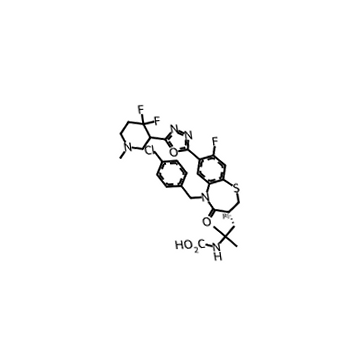 CN1CCC(F)(F)C(c2nnc(-c3cc4c(cc3F)SC[C@H](CC(C)(C)NC(=O)O)C(=O)N4Cc3ccc(Cl)cc3)o2)C1